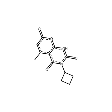 Cc1cc(=O)oc2[nH]c(=O)n(C3CCC3)c(=O)c12